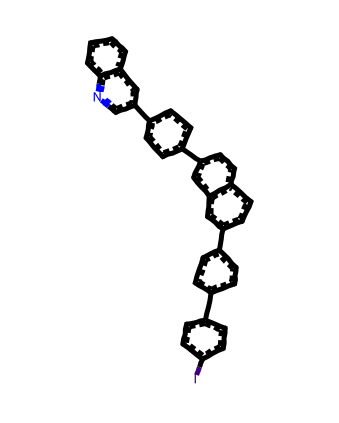 Ic1ccc(-c2ccc(-c3ccc4ccc(-c5ccc(-c6cnc7ccccc7c6)cc5)cc4c3)cc2)cc1